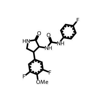 COc1c(F)cc(C2CNC(=O)C2NC(=O)Nc2ccc(F)cc2)cc1F